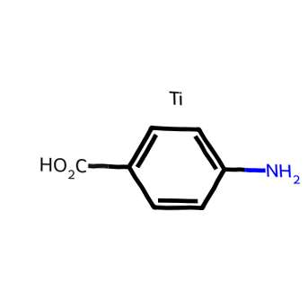 Nc1ccc(C(=O)O)cc1.[Ti]